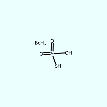 O=S(=O)(O)S.[BeH2]